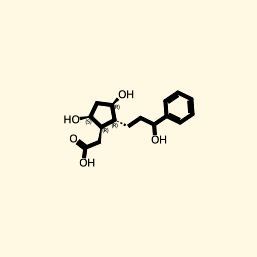 O=C(O)C[C@@H]1[C@@H](CCC(O)c2ccccc2)[C@H](O)C[C@@H]1O